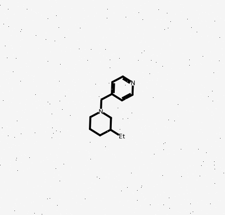 CCC1CCCN(Cc2ccncc2)C1